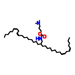 CCCC/C=C\C/C=C\CCCCCCCCC(CCCCCCCC/C=C\C/C=C\CCCCC)CNC(=O)OCCCN(C)C